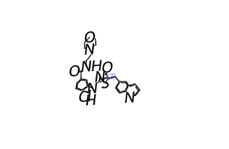 O=C1N=C(Nc2cc(C(=O)NCCN3CCOCC3)ccc2Cl)S/C1=C\c1ccc2ncccc2c1